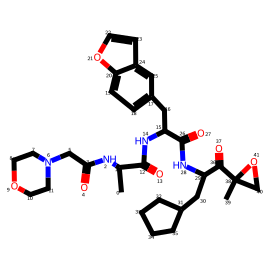 CC(NC(=O)CN1CCOCC1)C(=O)NC(Cc1ccc2occc2c1)C(=O)NC(CC1CCCC1)C(=O)C1(C)CO1